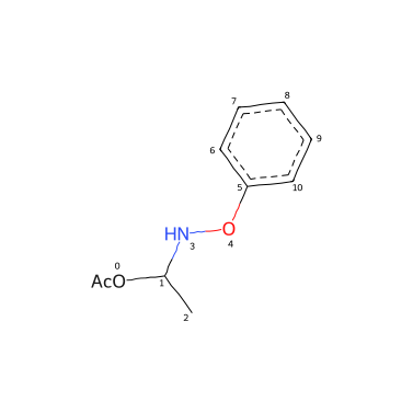 CC(=O)OC(C)NOc1ccccc1